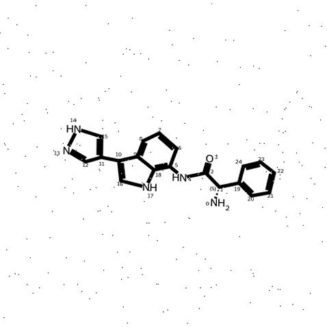 N[C@H](C(=O)Nc1cccc2c(-c3cn[nH]c3)c[nH]c12)c1ccccc1